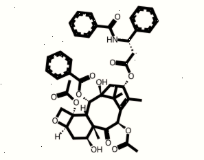 CC(=O)O[C@H]1C(=O)[C@@]2(C)[C@H]([C@H](OC(=O)c3ccccc3)[C@]3(O)C[C@H](OC(=O)[CH][C@H](NC(=O)c4ccccc4)c4ccccc4)C(C)=C1C3(C)C)[C@]1(OC(C)=O)CO[C@@H]1C[C@@H]2O